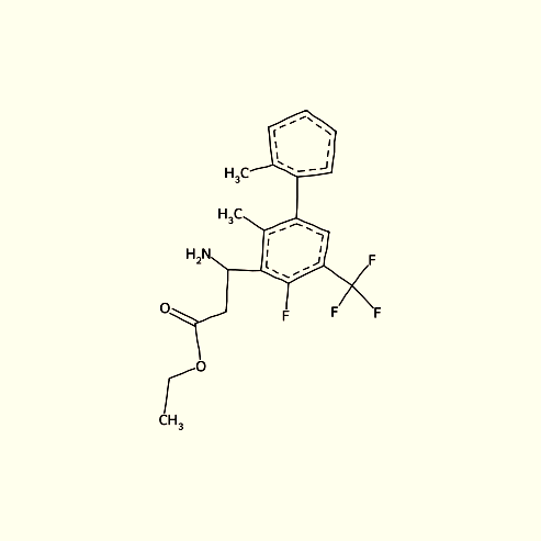 CCOC(=O)CC(N)c1c(C)c(-c2ccccc2C)cc(C(F)(F)F)c1F